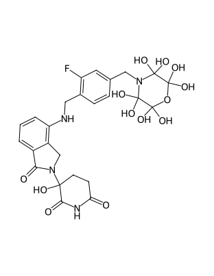 O=C1CCC(O)(N2Cc3c(NCc4ccc(CN5C(O)(O)C(O)(O)OC(O)(O)C5(O)O)cc4F)cccc3C2=O)C(=O)N1